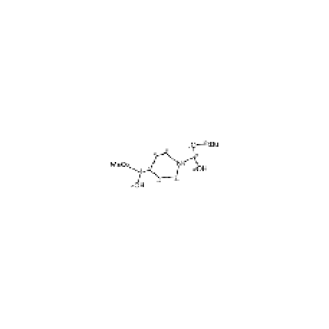 COC(O)C1CCN(C(O)OC(C)(C)C)CC1